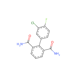 NC(=O)c1cccc(C(N)=O)c1-c1ccc(F)c(Cl)c1